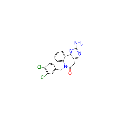 Nc1ncc2c(n1)-c1ccccc1N(Cc1ccc(Cl)c(Cl)c1)C(=O)C2